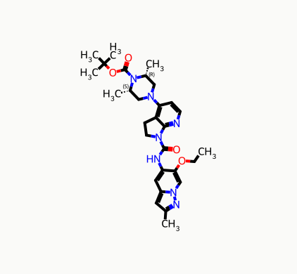 CCOc1cn2nc(C)cc2cc1NC(=O)N1CCc2c(N3C[C@@H](C)N(C(=O)OC(C)(C)C)[C@@H](C)C3)ccnc21